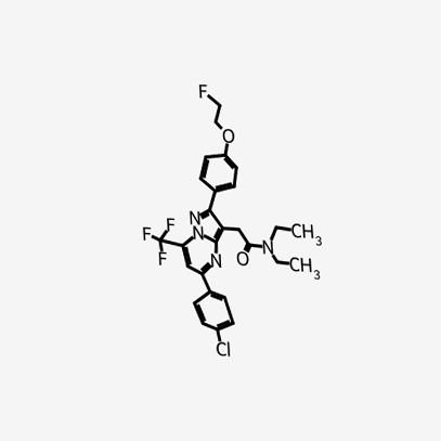 CCN(CC)C(=O)Cc1c(-c2ccc(OCCF)cc2)nn2c(C(F)(F)F)cc(-c3ccc(Cl)cc3)nc12